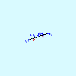 NCCCC(=O)C(N)CNCC(N)C(=O)CCCN